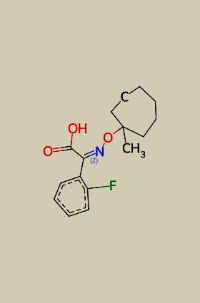 CC1(O/N=C(\C(=O)O)c2ccccc2F)CCCCCC1